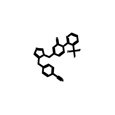 N#Cc1ccc(Cc2cncn2Cc2ccn(-c3ncccc3C(F)(F)F)c(=O)c2)cc1